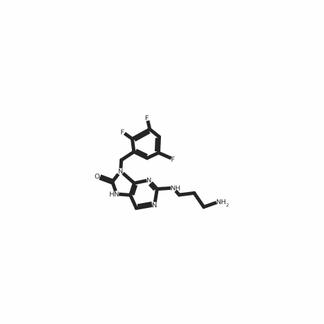 NCCCNc1ncc2[nH]c(=O)n(Cc3cc(F)cc(F)c3F)c2n1